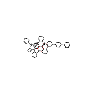 c1ccc(-c2ccc(-c3ccc(N(c4ccc5c(c4)C4(c6ccccc6-5)c5ccccc5N(c5ccccc5)c5ccccc54)c4ccccc4-c4ccccc4-c4cccc5ccccc45)cc3)cc2)cc1